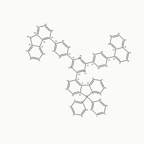 c1ccc(C2(c3ccccc3)c3ccccc3-c3c(-c4nc(-c5ccc(-c6cccc7ccccc67)cc5)nc(-c5ccc(-c6cccc7sc8ccccc8c67)cc5)n4)cccc32)cc1